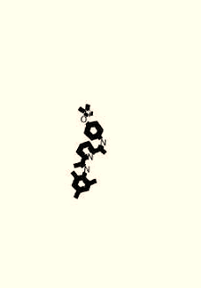 CC(=Nc1ccc(O[Si](C)(C)C)cc1)c1cccc(C(C)=Nc2c(C)cc(C)cc2C)n1